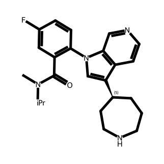 CC(C)N(C)C(=O)c1cc(F)ccc1-n1cc([C@H]2CCCNCC2)c2ccncc21